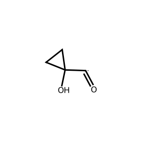 O=[C]C1(O)CC1